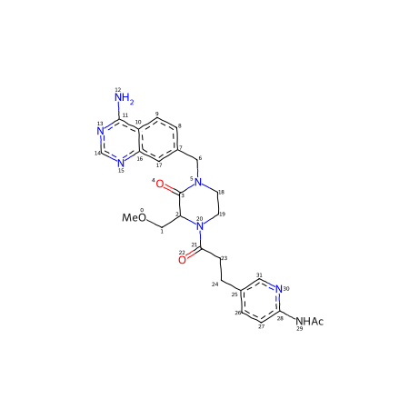 COCC1C(=O)N(Cc2ccc3c(N)ncnc3c2)CCN1C(=O)CCc1ccc(NC(C)=O)nc1